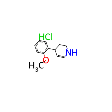 COc1ccccc1C1C=CNCC1.Cl